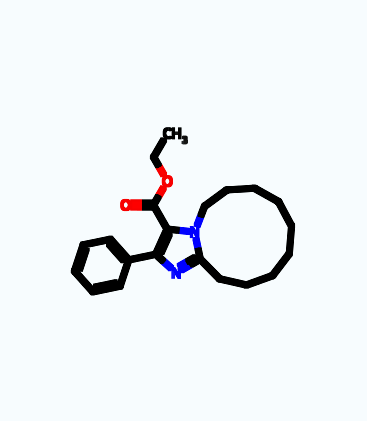 CCOC(=O)c1c(-c2ccccc2)nc2n1CCCCCCCCC2